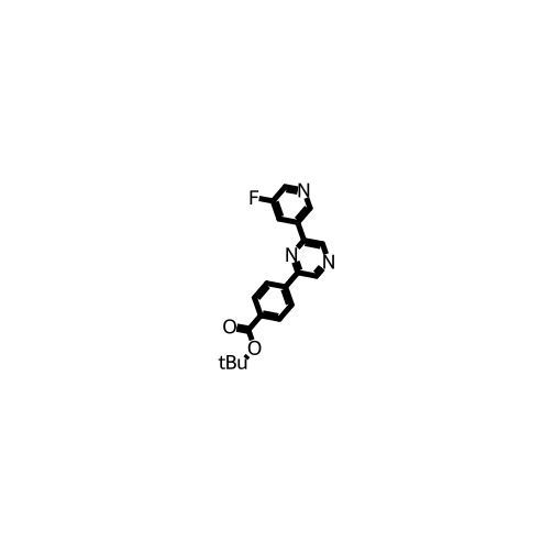 CC(C)(C)OC(=O)c1ccc(-c2cncc(-c3cncc(F)c3)n2)cc1